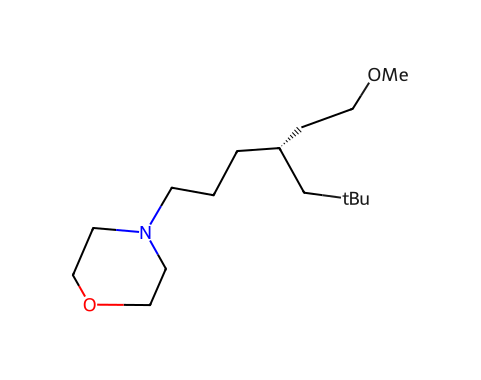 COCC[C@@H](CCCN1CCOCC1)CC(C)(C)C